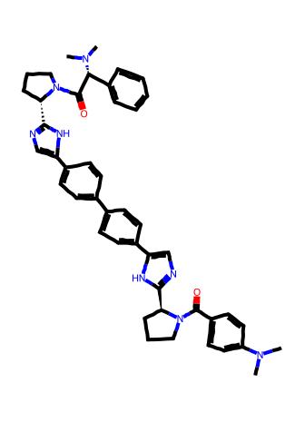 CN(C)c1ccc(C(=O)N2CCC[C@H]2c2ncc(-c3ccc(-c4ccc(-c5cnc([C@@H]6CCCN6C(=O)[C@@H](c6ccccc6)N(C)C)[nH]5)cc4)cc3)[nH]2)cc1